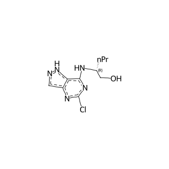 CCC[C@H](CO)Nc1nc(Cl)nc2cn[nH]c12